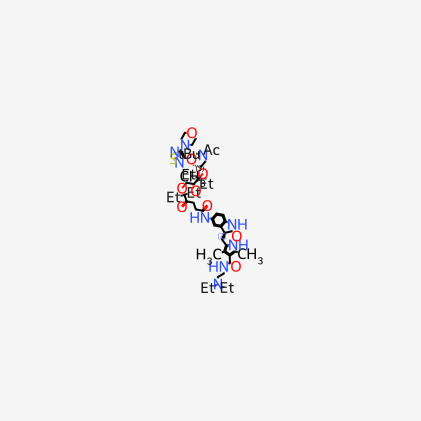 CCN(CC)CCNC(=O)c1c(C)[nH]c(/C=C2\C(=O)Nc3ccc(NC(=O)CCC(=O)C(CC)(CC)OC(C)C(=O)C(CC)(CC)O[C@H](COc4nsnc4N4CCOCC4)CN(C(C)=O)C(C)(C)C)cc32)c1C